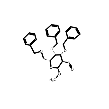 CO[C@H]1O[C@H](COCc2ccccc2)[C@H](OCc2ccccc2)[C@H](OCc2ccccc2)[C@H]1N=O